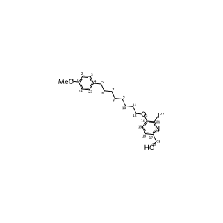 COc1ccc(CCCCCCCCOc2ccc(CO)nc2I)cc1